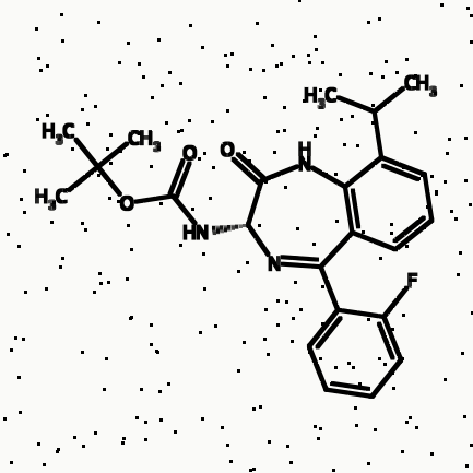 CC(C)c1cccc2c1NC(=O)[C@@H](NC(=O)OC(C)(C)C)N=C2c1ccccc1F